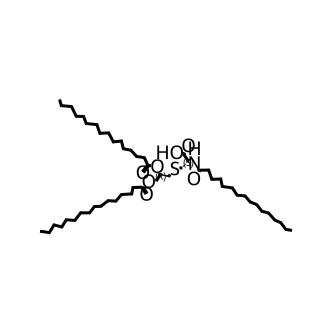 CCCCCCCCCCCCCCCC(=O)N[C@H](CSC[C@@H](COC(=O)CCCCCCCCCCCCCCC)OC(=O)CCCCCCCCCCCCCCC)C(=O)O